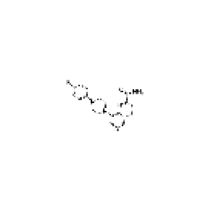 NC(=O)c1ccc2cncc(N3CCN(c4ccc(F)cc4)CC3)c2n1